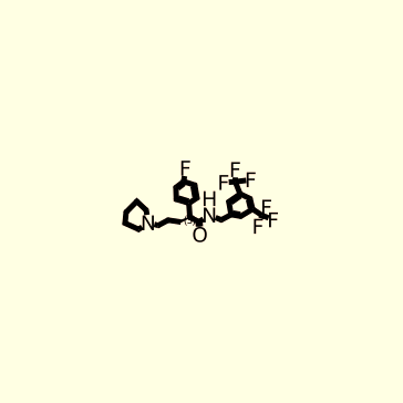 O=C(NCc1cc(C(F)(F)F)cc(C(F)(F)F)c1)[C@@H](CCCN1CCCCC1)c1ccc(F)cc1